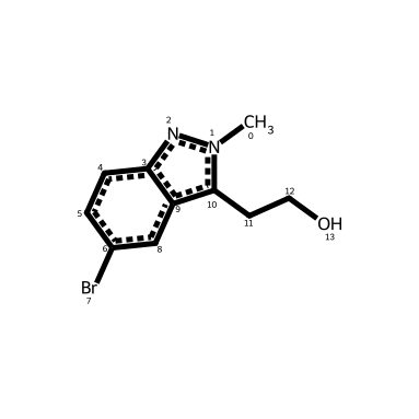 Cn1nc2ccc(Br)cc2c1CCO